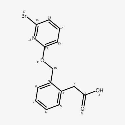 O=C(O)Cc1ccccc1COc1cccc(Br)n1